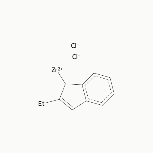 CCC1=Cc2ccccc2[CH]1[Zr+2].[Cl-].[Cl-]